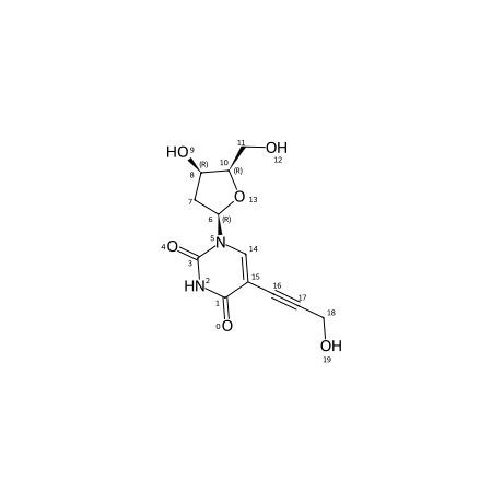 O=c1[nH]c(=O)n([C@H]2C[C@@H](O)[C@@H](CO)O2)cc1C#CCO